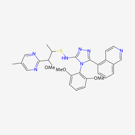 COc1cccc(OC)c1-n1c(NSC(C)C(OC)c2ncc(C)cn2)nnc1-c1cccc2cnccc12